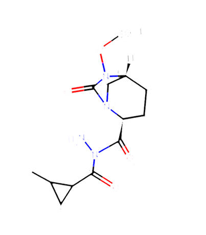 CC1CC1C(=O)N(N)C(=O)[C@@H]1CC[C@@H]2CN1C(=O)N2OS(=O)(=O)O